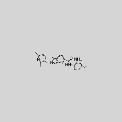 Cc1ccc(Cn2cc3cc(C(=O)Nc4ccc(F)cc4N)ccc3n2)c(C)n1